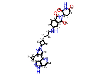 O=C1CCC(N2C(=O)c3ccc(NCCC[C@H]4C[C@H](n5cc(-c6nccc7[nH]ncc67)c(C6CC6)n5)C4)cc3C2=O)C(=O)N1